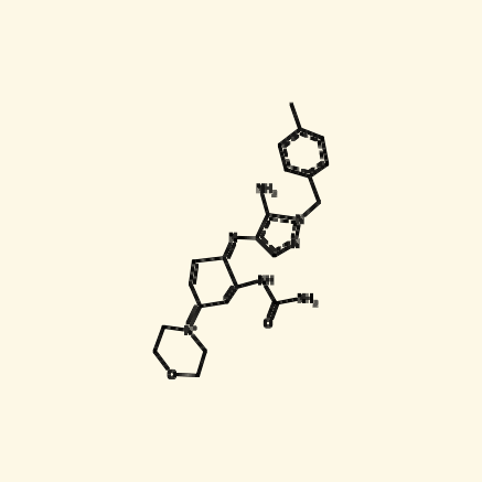 Cc1ccc(Cn2ncc(/N=C3/C=CC(=[N+]4CCOCC4)C=C3NC(N)=O)c2N)cc1